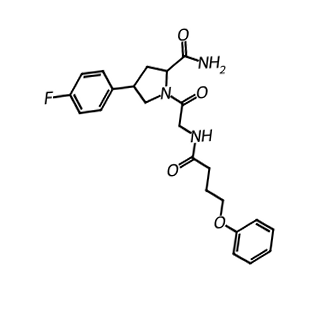 NC(=O)C1CC(c2ccc(F)cc2)CN1C(=O)CNC(=O)CCCOc1ccccc1